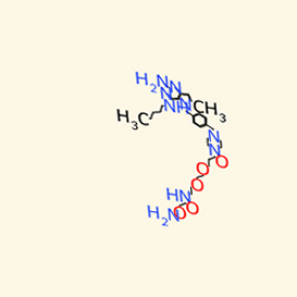 CCCCCNc1nc(N)nc2ccn(Cc3ccc(CN4CCN(C(=O)CCOCCOCCNC(=O)CON)CC4)cc3C)c12